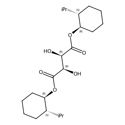 CC(C)[C@@H]1CCCC[C@H]1OC(=O)[C@H](O)[C@@H](O)C(=O)O[C@@H]1CCCC[C@H]1C(C)C